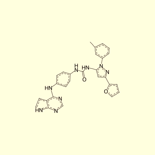 Cc1cccc(-n2nc(-c3ccco3)cc2NC(=O)Nc2ccc(Nc3ncnc4[nH]ccc34)cc2)c1